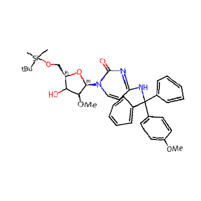 COc1ccc(C(Nc2ccn([C@@H]3O[C@H](CO[Si](C)(C)C(C)(C)C)C(O)C3OC)c(=O)n2)(c2ccccc2)c2ccccc2)cc1